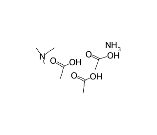 CC(=O)O.CC(=O)O.CC(=O)O.CN(C)C.N